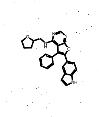 c1ccc(-c2c(-c3ccc4[nH]ccc4c3)oc3ncnc(NCC4CCCO4)c23)cc1